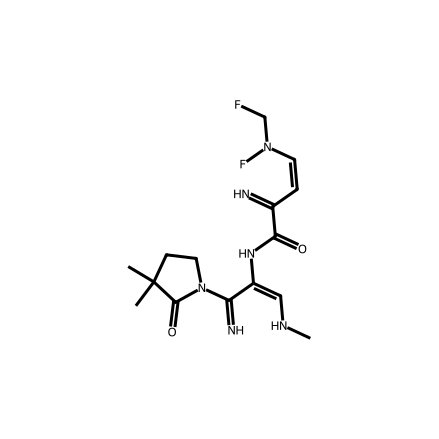 CN/C=C(/NC(=O)C(=N)/C=C\N(F)CF)C(=N)N1CCC(C)(C)C1=O